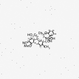 CCC1CN(Cc2cc(C(CC(=O)O)c3ccc(C#N)c(OC)c3)ccc2C)S(O)(O)c2ccccc2O1